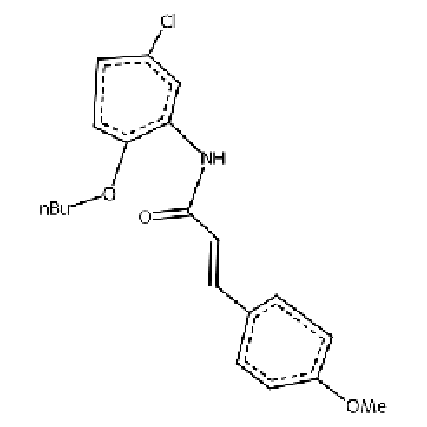 CCCCOc1ccc(Cl)cc1NC(=O)/C=C/c1ccc(OC)cc1